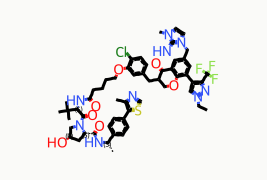 CCn1cc(-c2cc(Cn3ccn(C)c3=N)cc3c2OCC(Cc2ccc(Cl)c(OCCCCC(=O)N[C@H](C(=O)N4C[C@H](O)C[C@H]4C(=O)N[C@@H](C)c4ccc(-c5scnc5C)cc4)C(C)(C)C)c2)C3=O)c(C(F)(F)F)n1